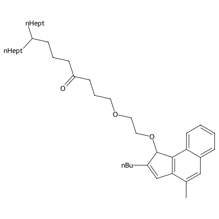 CCCCCCCC(CCCCCCC)CCCC(=O)CCCOCCOC1C(CCCC)=Cc2c(C)cc3ccccc3c21